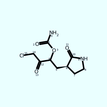 NC(=O)OC(C[C@@H]1CCNC1=O)C(=O)CCl